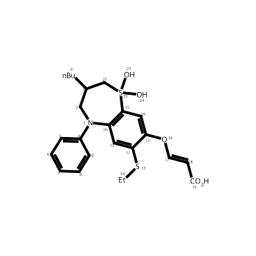 CCCCC1CN(c2ccccc2)c2cc(SCC)c(O/C=C/C(=O)O)cc2S(O)(O)C1